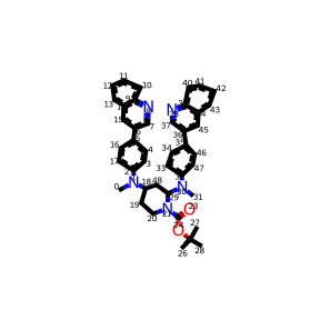 CN(c1ccc(-c2cnc3ccccc3c2)cc1)C1CCN(C(=O)OC(C)(C)C)C(N(C)c2ccc(-c3cnc4ccccc4c3)cc2)C1